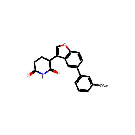 COc1cccc(-c2ccc3occ(C4CCC(=O)NC4=O)c3c2)c1